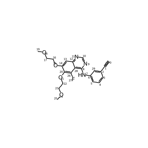 C#Cc1cccc(Nc2ncnc3cc(OCCOC)c(OCCOC)c(F)c23)c1